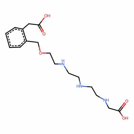 O=C(O)CNCCNCCNCCOCc1ccccc1CC(=O)O